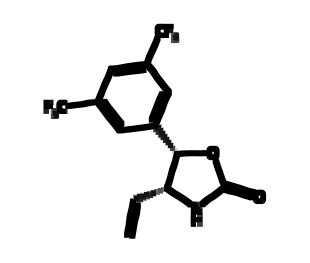 C=C[C@H]1NC(=O)O[C@H]1c1cc(C(F)(F)F)cc(C(F)(F)F)c1